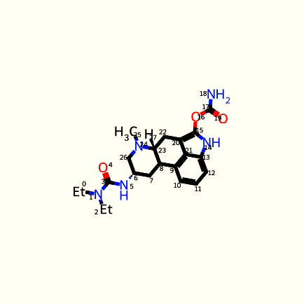 CCN(CC)C(=O)N[C@H]1CC2c3cccc4[nH]c(OC(N)=O)c(c34)C[C@H]2N(C)C1